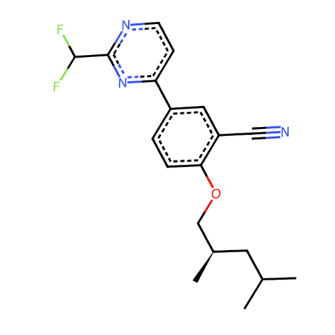 CC(C)C[C@@H](C)COc1ccc(-c2ccnc(C(F)F)n2)cc1C#N